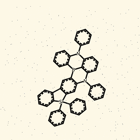 c1ccc(N2c3ccccc3B3c4cc5c(cc4N(c4ccccc4)c4cccc2c43)[Si](c2ccccc2)(c2ccccc2)c2ccccc2-5)cc1